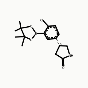 CC1(C)OB(c2cc([C@@H]3CNC(=O)C3)ccc2Cl)OC1(C)C